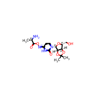 C[C@@H](N)C(=O)O/N=c1\ccn([C@@H]2O[C@H](CO)[C@H]3OC(C)(C)O[C@H]32)c(=O)[nH]1